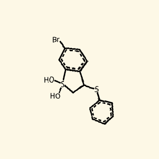 OS1(O)CC(Sc2ccccc2)c2ccc(Br)cc21